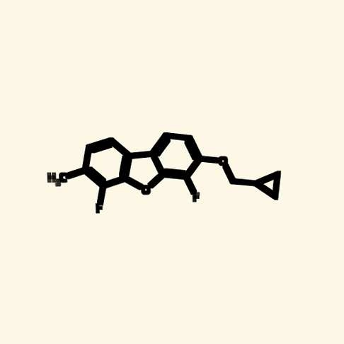 Cc1ccc2c(oc3c(F)c(OCC4CC4)ccc32)c1F